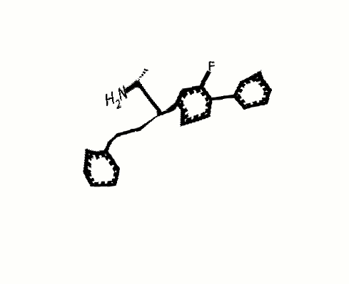 C[C@@H](N)[C@H](CCc1ccccc1)c1ccc(-c2ccccc2)c(F)c1